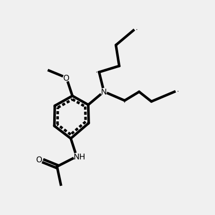 [CH2]CC[CH]N([CH]CC[CH2])c1cc(NC(C)=O)ccc1OC